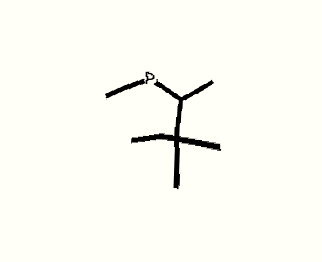 C[P]C(C)C(C)(C)C